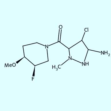 CO[C@H]1CCN(C(=O)C2C(Cl)C(N)NN2C)C[C@H]1F